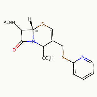 CC(=O)NC1C(=O)N2C(C(=O)O)C(CSc3ccccn3)=CS[C@@H]12